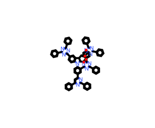 C1=CC2C(C=C1c1nc(-c3ccccc3)nc(-c3ccccc3)n1)c1cc(-c3nc(-c4ccccc4)nc(-c4ccccc4)n3)ccc1N2c1ccc(-c2cc(-c3ccccc3)nc(-c3ccccc3)n2)cc1-c1nc(-c2ccccc2)nc(-c2ccccc2)n1